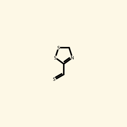 S=CC1=NCSS1